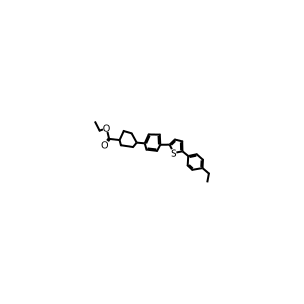 CCOC(=O)C1CCC(c2ccc(-c3ccc(-c4ccc(CC)cc4)s3)cc2)CC1